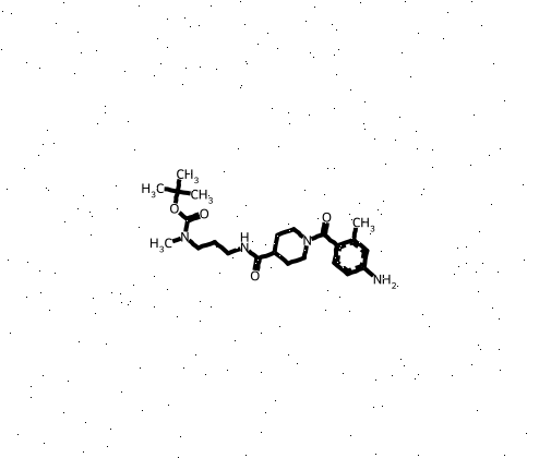 Cc1cc(N)ccc1C(=O)N1CCC(C(=O)NCCCN(C)C(=O)OC(C)(C)C)CC1